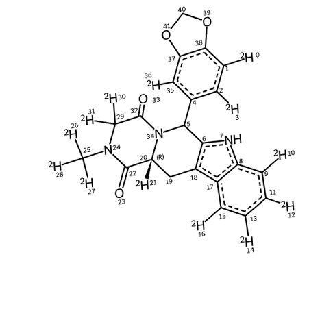 [2H]c1c([2H])c(C2c3[nH]c4c([2H])c([2H])c([2H])c([2H])c4c3C[C@]3([2H])C(=O)N(C([2H])([2H])[2H])C([2H])([2H])C(=O)N23)c([2H])c2c1OCO2